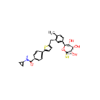 Cc1ccc(C2O[C@H](S)[C@@H](O)[C@H](O)[C@H]2O)cc1Cc1ccc(-c2ccc(C(=O)NC3CC3)cc2)s1